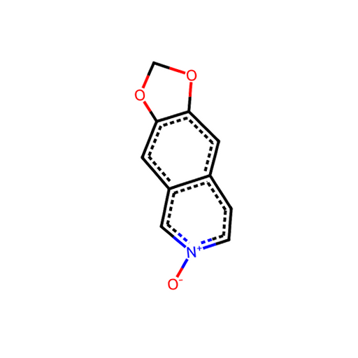 [O-][n+]1ccc2cc3c(cc2c1)OCO3